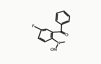 CN(N=O)c1ccc(F)cc1C(=O)c1ccccc1